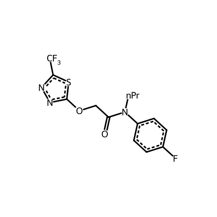 CCCN(C(=O)COc1nnc(C(F)(F)F)s1)c1ccc(F)cc1